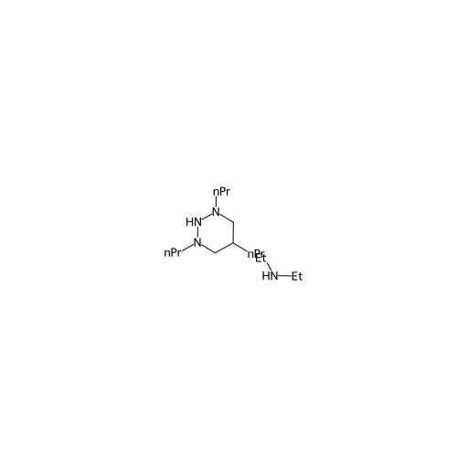 CCCC1CN(CCC)NN(CCC)C1.CCNCC